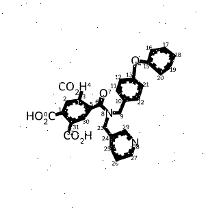 O=C(O)c1cc(C(=O)O)c(C(=O)N(Cc2ccc(Oc3ccccc3)cc2)Cc2cccnc2)cc1C(=O)O